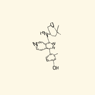 Cc1cc(O)ccc1-c1nnc(NC2COC(C)(C)C2)c2cnccc12